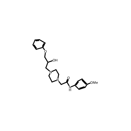 COc1ccc(NC(=O)CN2CCN(CC(O)COc3ccccc3)CC2)cc1